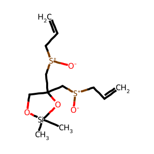 C=CC[S+]([O-])CC1(C[S+]([O-])CC=C)CO[Si](C)(C)O1